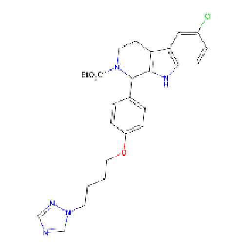 CCOC(=O)N1CCc2c([nH]c3ccc(Cl)cc23)C1c1ccc(OCCCCn2cncn2)cc1